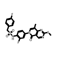 CSc1ncc2c(=O)n(-c3ccc(NS(=O)(=O)Cc4ccc(F)cc4)c(F)c3)cc(C)c2n1